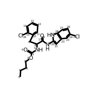 CCCCOC(=O)NC(Cc1ccccc1Cl)C(=O)Nc1cc2cc(Cl)ccc2[nH]1